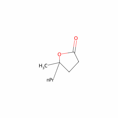 CCCC1(C)CCC(=O)O1